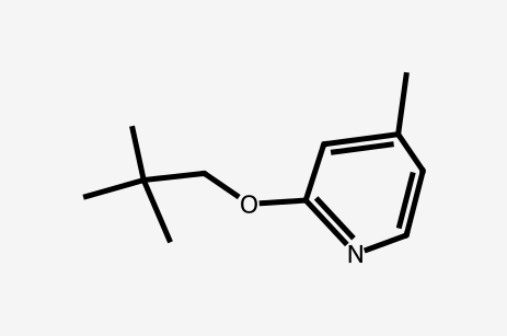 Cc1ccnc(OCC(C)(C)C)c1